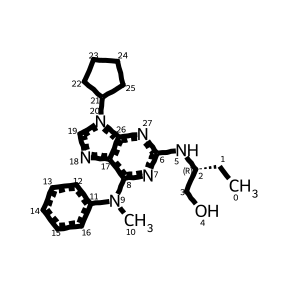 CC[C@H](CO)Nc1nc(N(C)c2ccccc2)c2ncn(C3CCCC3)c2n1